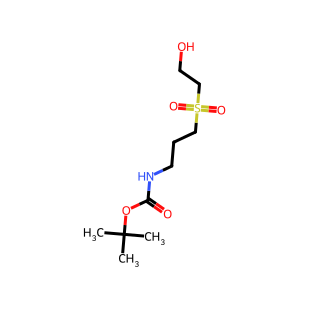 CC(C)(C)OC(=O)NCCCS(=O)(=O)CCO